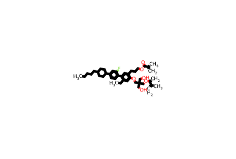 C=C(C)C(=C)OCC(CO)(CO)COc1cc(CC)c(-c2ccc(C3CCC(CCCCC)CC3)cc2F)cc1CCCOC(=O)C(=C)C